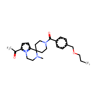 CN1CCn2c(C(=O)C(F)(F)F)ccc2C12CCN(C(=O)c1ccc(COCCC(F)(F)F)cc1)CC2